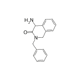 NC1C(=O)N(Cc2ccccc2)Cc2ccccc21